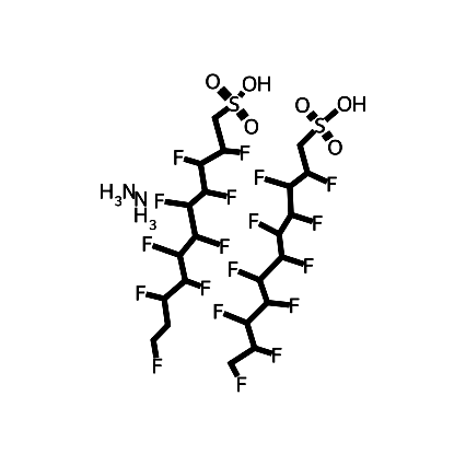 N.N.O=S(=O)(O)CC(F)C(F)C(F)C(F)C(F)C(F)C(F)C(F)C(F)CF.O=S(=O)(O)CC(F)C(F)C(F)C(F)C(F)C(F)C(F)C(F)CCF